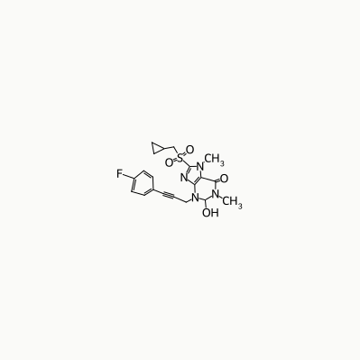 CN1C(=O)c2c(nc(S(=O)(=O)CC3CC3)n2C)N(CC#Cc2ccc(F)cc2)C1O